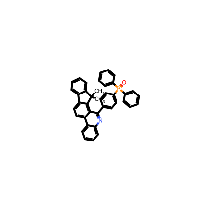 CC1(C)c2ccccc2-c2ccc3c(c(-c4ccc(P(=O)(c5ccccc5)c5ccccc5)cc4)nc4ccccc43)c21